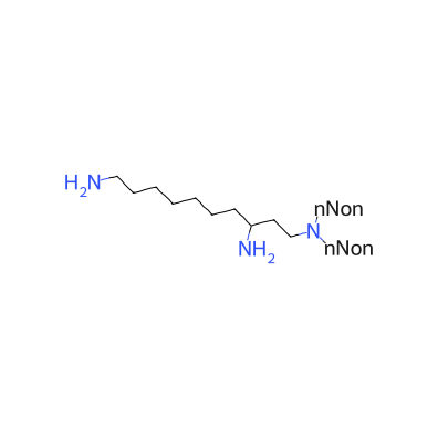 CCCCCCCCCN(CCCCCCCCC)CCC(N)CCCCCCCN